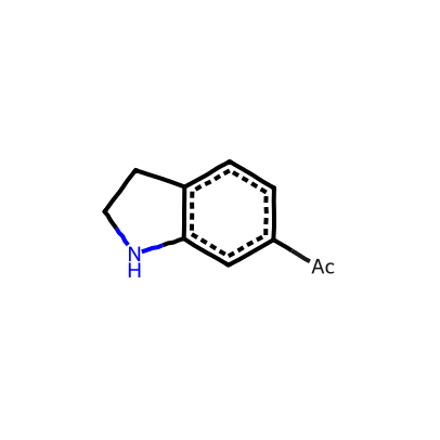 CC(=O)c1ccc2c(c1)NCC2